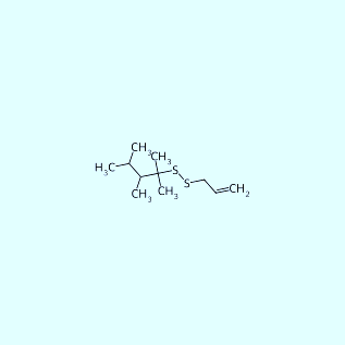 C=CCSSC(C)(C)C(C)C(C)C